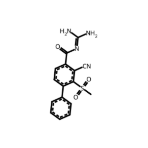 CS(=O)(=O)c1c(-c2ccccc2)ccc(C(=O)N=C(N)N)c1C#N